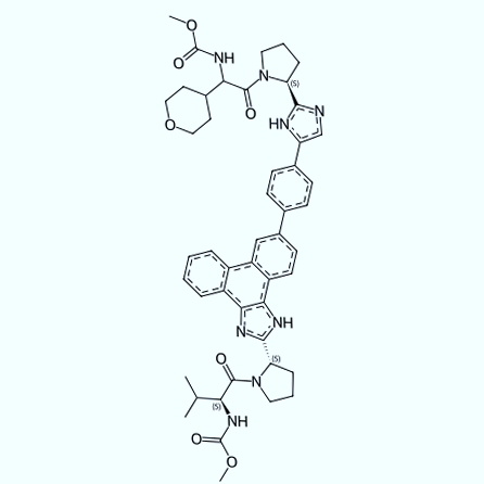 COC(=O)NC(C(=O)N1CCC[C@H]1c1ncc(-c2ccc(-c3ccc4c(c3)c3ccccc3c3nc([C@@H]5CCCN5C(=O)[C@@H](NC(=O)OC)C(C)C)[nH]c43)cc2)[nH]1)C1CCOCC1